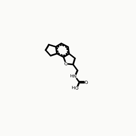 O=C(O)NCC1Cc2ccc3c(c2O1)CCC3